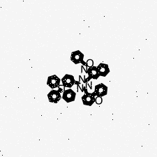 c1ccc(-c2nc3c(-c4nc(-c5cccc([Si](c6ccccc6)(c6ccccc6)c6ccccc6)c5)nc(-c5cccc6oc7ccccc7c56)n4)cc4ccccc4c3o2)cc1